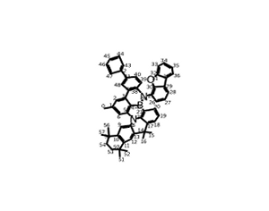 Cc1cc2c3c(c1)N1c4cc5c(cc4C(C)(C)c4cccc(c41)B3N(c1cccc3c1oc1ccccc13)c1ccc(-c3ccccc3)cc1-2)C(C)(C)CCC5(C)C